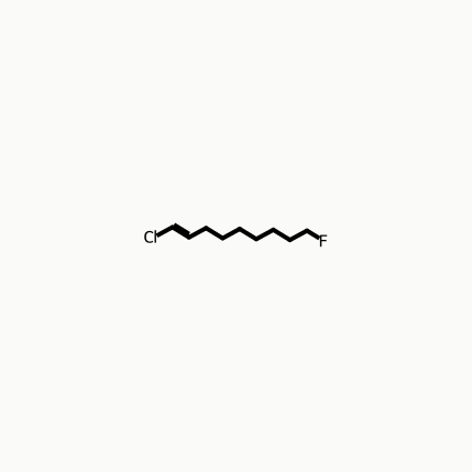 FCCCCCCCC=CCl